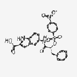 O=C(O)c1cc2cc(NC(=O)[C@@H](Cc3ccccc3)OS(=O)(=O)c3ccc([N+](=O)[O-])cc3)ccc2[nH]1